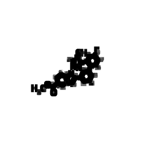 COC(=O)c1ccc2nc(-c3cccc(-c4ccc(F)cc4-c4nncn4C)c3)cn2c1